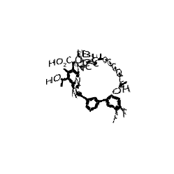 Cc1c([C@H](OC(C)(C)C)C(=O)O)c2n3cc(nc3c1C(C)O)-c1cccc(c1)-c1cc(F)c(F)cc1O[C@@H](C)COCCOC1(C)CCN2CC1